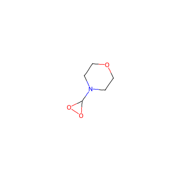 C1CN(C2OO2)CCO1